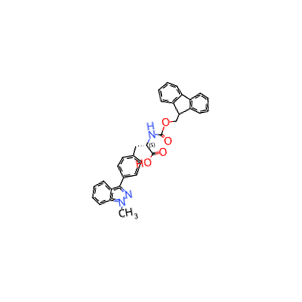 Cn1nc(-c2ccc(C[C@H](NC(=O)OCC3c4ccccc4-c4ccccc43)C(=O)O)cc2)c2ccccc21